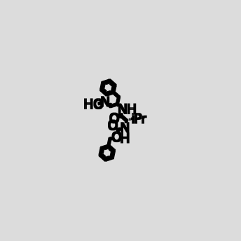 CC(C)[C@H](NC(=O)OCc1ccccc1)C(=O)NC(/C=N/O)Cc1ccccc1